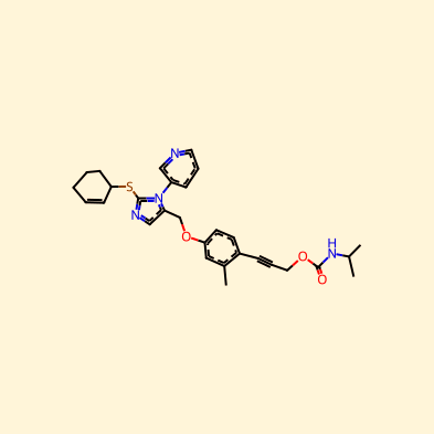 Cc1cc(OCc2cnc(SC3C=CCCC3)n2-c2cccnc2)ccc1C#CCOC(=O)NC(C)C